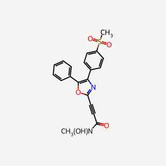 CN(O)C(=O)C#Cc1nc(-c2ccc(S(C)(=O)=O)cc2)c(-c2ccccc2)o1